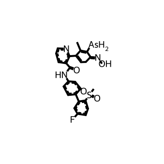 CC1=C([AsH2])C(=NO)CC=C1c1ncccc1C(=O)Nc1ccc(-c2cc(F)ccc2S(C)(=O)=O)cc1